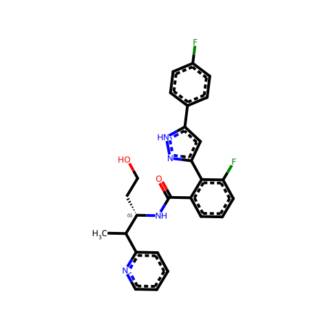 CC(c1ccccn1)[C@H](CCO)NC(=O)c1cccc(F)c1-c1cc(-c2ccc(F)cc2)[nH]n1